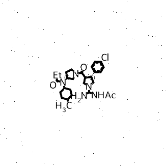 CCC(=O)N(C1CCC(C)CC1)[C@H]1CCN(C(=O)C2CN(C(N)NC(C)=O)C[C@H]2c2ccc(Cl)cc2)C1